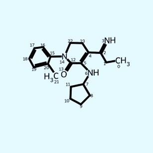 CCC(=N)C1=C(NC2CCCC2)C(=O)N(c2ccccc2C)CC1